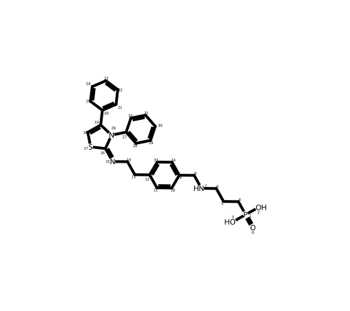 O=P(O)(O)CCCNCc1ccc(CCN=c2scc(-c3ccccc3)n2-c2ccccc2)cc1